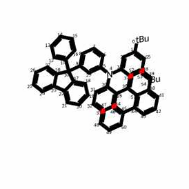 CC(C)(C)c1cc(N(c2cccc(C3(c4ccccc4)c4ccccc4-c4ccccc43)c2)c2ccccc2-c2cccc3cccc(-c4ccccc4)c23)cc(C(C)(C)C)c1